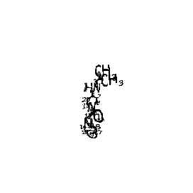 CC(C)CNCC1CCN(C(=O)CN2CCOCC2)CC1